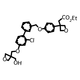 CCOC(=O)CC1(c2ccc(OCc3cccc(-c4ccc(OCC5(CO)COC5)cc4Cl)c3)cc2)COC1